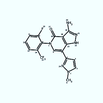 Cn1ccc(-c2cn(-c3c(F)cccc3C(F)(F)F)c(=O)c3c(N)n[nH]c23)n1